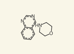 C1COCCN1.c1ccc2ncncc2c1